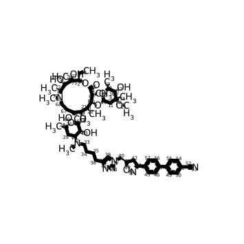 CC[C@H]1OC(=O)[C@H](C)[C@@H](O[C@H]2C[C@@](C)(OC)[C@@H](O)[C@H](C)O2)[C@H](C)[C@@H](O[C@@H]2O[C@H](C)C[C@H](N(C)CCCCc3cn(C[C@H]4CC(c5ccc(-c6ccc(C#N)cc6)cc5)=NO4)nn3)[C@H]2O)[C@](C)(O)CCN(C)[C@H](C)[C@@H](O)[C@]1(C)O